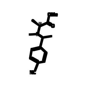 COC(=O)[C@H](C)N(C)C(C)c1ccc(C#N)cc1